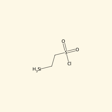 O=S(=O)(Cl)CC[SiH3]